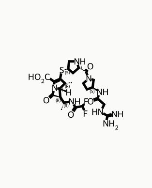 C[C@@H](NC(=O)C(F)F)[C@H]1C(=O)N2C(C(=O)O)=C(S[C@@H]3CN[C@H](C(=O)N4CC[C@H](NC(=O)CNC(=N)N)C4)C3)[C@H](C)[C@H]12